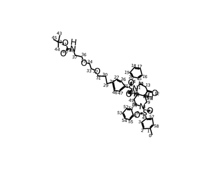 Cc1ccc(S(=O)(=O)N2C[C@H]3C(=O)C[C@@H](c4ccccc4)N(S(=O)(=O)c4ccc(CCCOCCOCCNC(=O)OC(C)(C)C)cc4)[C@H]3C[C@H]2c2ccccc2)cc1